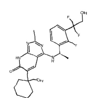 Cc1nc(N[C@H](C)c2cccc(C(F)(F)CO)c2F)c2cc(C3(O)CCCCC3)c(=O)[nH]c2n1